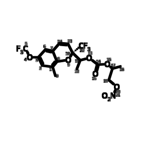 Cc1cc(OC(F)(F)F)cc2c1O[C@@](C(C)OC(=O)OC(C)CO[N+](=O)[O-])(C(F)(F)F)C=C2